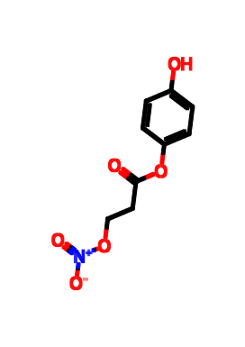 O=C(CCO[N+](=O)[O-])Oc1ccc(O)cc1